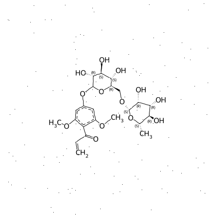 C=CC(=O)c1c(OC)cc(OC2O[C@H](CO[C@H]3O[C@@H](C)[C@H](O)[C@@H](O)[C@H]3O)[C@@H](O)[C@H](O)[C@H]2O)cc1OC